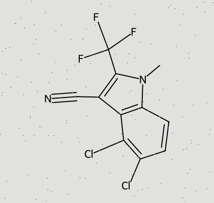 Cn1c(C(F)(F)F)c(C#N)c2c(Cl)c(Cl)ccc21